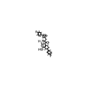 NC(Cc1nc(-c2ccc(F)cn2)no1)C(=O)NC1=C(C(=O)O)CC(c2ccc(F)nc2)CC1